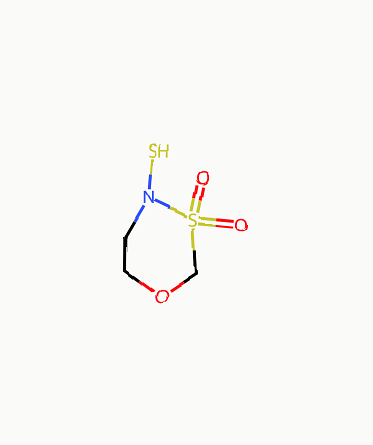 O=S1(=O)COCCN1S